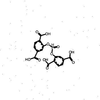 O=C(O)c1ccc(C(=O)O)c(O[PH](=O)Oc2cc(C(=O)O)ccc2C(=O)O)c1